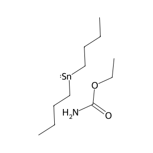 CCC[CH2][Sn][CH2]CCC.CCOC(N)=O